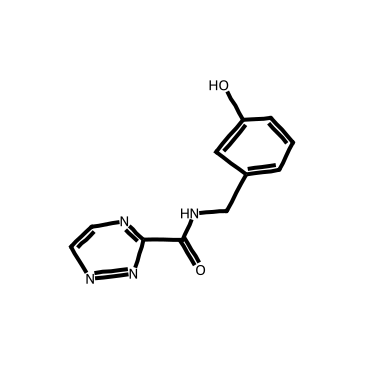 O=C(NCc1cccc(O)c1)c1nccnn1